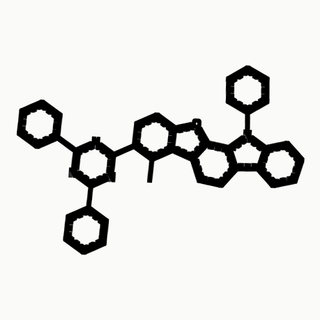 Cc1c(-c2nc(-c3ccccc3)nc(-c3ccccc3)n2)ccc2oc3c(ccc4c5ccccc5n(-c5ccccc5)c43)c12